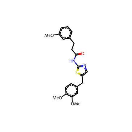 COc1cccc(CCC(=O)Nc2ncc(Cc3ccc(OC)c(OC)c3)s2)c1